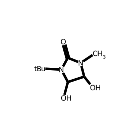 CN1C(=O)N(C(C)(C)C)C(O)C1O